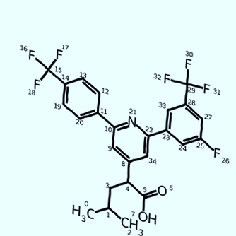 CC(C)CC(C(=O)O)c1cc(-c2ccc(C(F)(F)F)cc2)nc(-c2cc(F)cc(C(F)(F)F)c2)c1